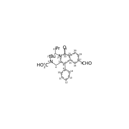 CC(C)Cn1c(CN(C(=O)O)C(C)(C)C)c(-c2ccccc2)c2cc(C=O)ccc2c1=O